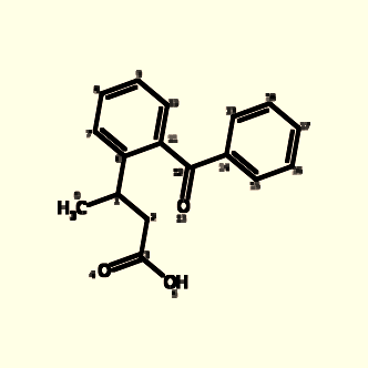 CC(CC(=O)O)c1ccccc1C(=O)c1ccccc1